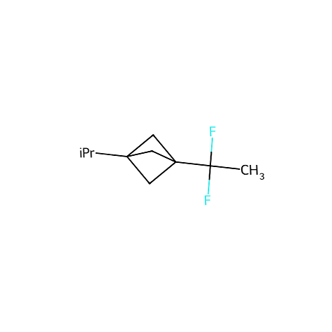 CC(C)C12CC(C(C)(F)F)(C1)C2